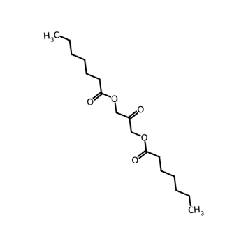 CCCCCCC(=O)OCC(=O)COC(=O)CCCCCC